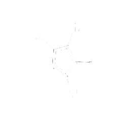 CCc1nn(C)c(F)c1C(C)(C)C